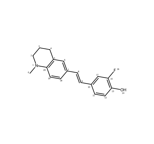 CN1CCCc2cc(C=Cc3ccc(O)c(F)c3)ccc21